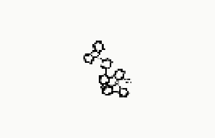 N#Cc1ccc(-c2cccc(-n3c4ccccc4c4ccccc43)c2)c(-c2cccc(C#N)c2-n2c3ccccc3c3ccccc32)c1